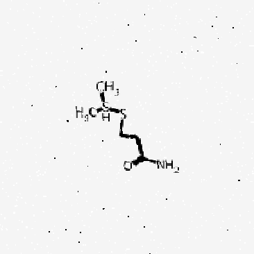 C[SH](C)SCCC(N)=O